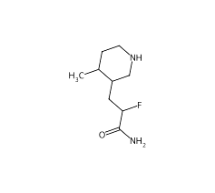 CC1CCNCC1CC(F)C(N)=O